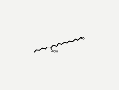 CCCCCC[C@H](CCCCCCCCCCC=O)OO